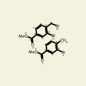 COC(=O)c1ccc(C)c(Br)c1.COC(=O)c1ccc(CBr)c(Br)c1